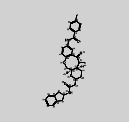 Cc1ccc(C(=O)Nc2ccc3c(c2)C(=O)N(C)[C@H]2CC[C@@H](CC(=O)NC4Cc5ccccc5C4)O[C@H]2CO3)cc1